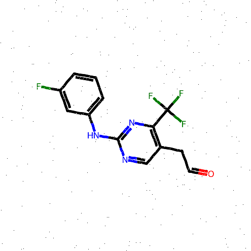 O=CCc1cnc(Nc2cccc(F)c2)nc1C(F)(F)F